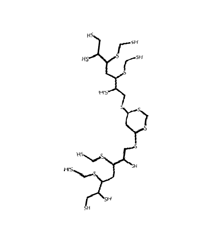 SCSC(CC(SCS)C(S)CSC1CC(SCC(S)C(CC(SCS)C(S)CS)SCS)SCS1)C(S)CS